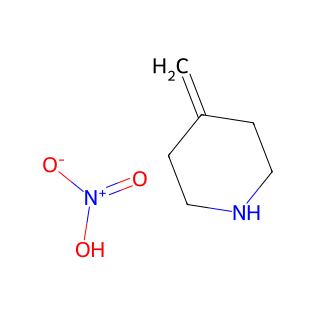 C=C1CCNCC1.O=[N+]([O-])O